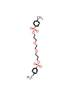 Cc1ccc(S(=O)(=O)OCCCOCCOCCCOS(=O)(=O)c2ccc(C)cc2)cc1